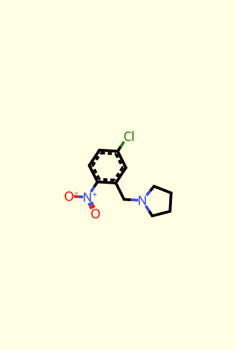 O=[N+]([O-])c1ccc(Cl)cc1CN1CCCC1